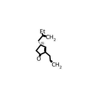 C=CCC1=C[C@@H](CC(=C)CC)CC1=O